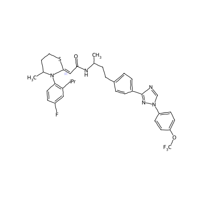 CC(CCc1ccc(-c2ncn(-c3ccc(OC(F)(F)F)cc3)n2)cc1)NC(=O)/C=C1\SCCC(C)N1c1ccc(F)cc1C(C)C